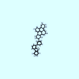 c1cc(-c2cccc3c2oc2ccccc23)cc(C2CCC3C(C2)C2CCCC4C5CCCCC5C5CCCC3C5C42)c1